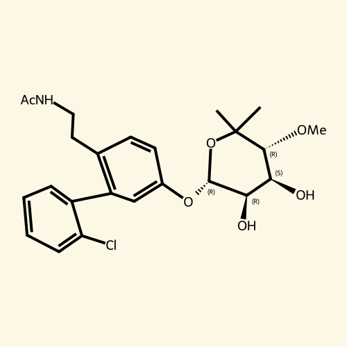 CO[C@@H]1[C@@H](O)[C@@H](O)[C@H](Oc2ccc(CCNC(C)=O)c(-c3ccccc3Cl)c2)OC1(C)C